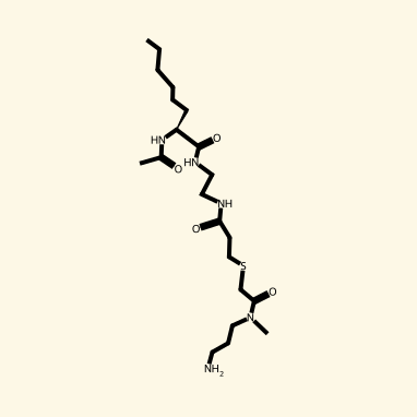 CCCCCC[C@H](NC(C)=O)C(=O)NCCNC(=O)CCSCC(=O)N(C)CCCN